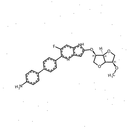 CO[C@@H]1CO[C@H]2C1OC[C@H]2Oc1cc2nc(-c3ccc(-c4ccc(N)cc4)cc3)c(F)cc2[nH]1